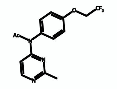 CC(=O)N(c1ccc(OCC(F)(F)F)cc1)c1ccnc(C)n1